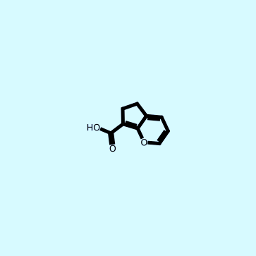 O=C(O)C1=C2OC=CC=C2CC1